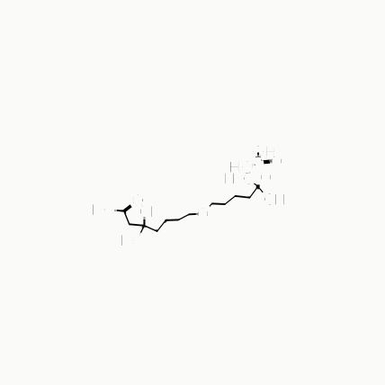 CC(C)(CCCCOCCCCC(C)(C)OP(=O)(O)O)CC(=O)O